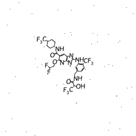 Cn1c(Nc2cc(CNC(=O)C(O)C(F)(F)F)ccc2C(F)(F)F)nc2cc(C(=O)N[C@H]3CC[C@H](C(F)(F)F)CC3)c(OCC(F)F)nc21